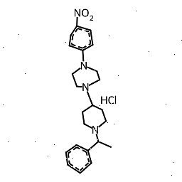 CC(c1ccccc1)N1CCC(N2CCN(c3ccc([N+](=O)[O-])cc3)CC2)CC1.Cl